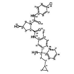 NC(CCC1CC1)(c1ccc(F)c(NC(=O)[C@H]2C[C@@H](O)CN2C(=O)Nc2ccc(Cl)cn2)c1)c1ccccn1